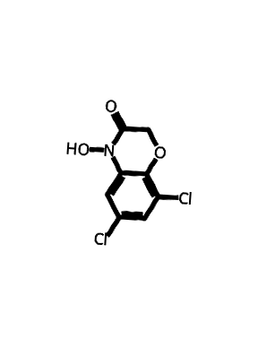 O=C1COc2c(Cl)cc(Cl)cc2N1O